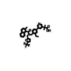 CCc1cc(-c2cncc(C(C)(C)C(=O)O)c2)ccc1CN(Cc1ccc(C(F)(F)F)o1)C(=O)c1c(C)ccc2ccccc12